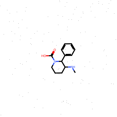 CNC1CCCN(C(=O)O)C1c1ccccc1